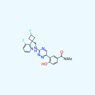 CNC(=O)c1ccc(O)c(-c2cnc(NC[C@]3(c4ncccc4F)C[C@H](F)C3)nn2)c1